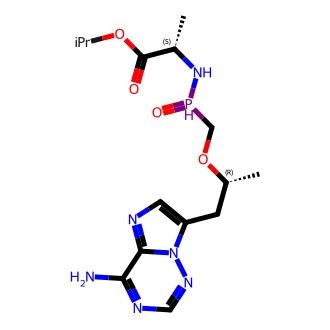 CC(C)OC(=O)[C@H](C)N[PH](=O)CO[C@H](C)Cc1cnc2c(N)ncnn12